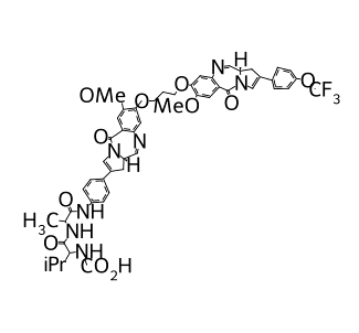 COc1cc2c(cc1OCCCOc1cc3c(cc1OC)C(=O)N1C=C(c4ccc(OC(F)(F)F)cc4)C[C@H]1C=N3)N=C[C@@H]1CC(c3ccc(NC(=O)C(C)NC(=O)C(NC(=O)O)C(C)C)cc3)=CN1C2=O